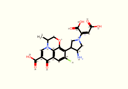 CC1COc2c(C3CN(/C(=C/C(=O)O)C(=O)O)CC3N)c(F)cc3c(=O)c(C(=O)O)cn1c23